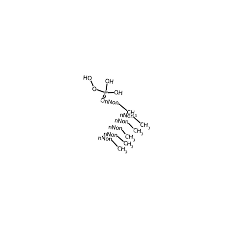 CCCCCCCCCC.CCCCCCCCCC.CCCCCCCCCC.CCCCCCCCCC.CCCCCCCCCC.CCCCCCCCCC.O=P(O)(O)OO